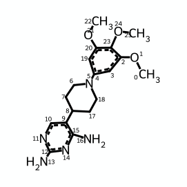 COc1cc(N2CCC(c3cnc(N)nc3N)CC2)cc(OC)c1OC